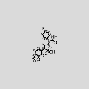 CC1(C)OC(=C2C(=O)Nc3cc(F)ccc32)C=C1c1ccc2c(c1)OCO2